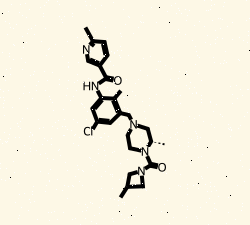 Cc1ccc(C(=O)Nc2cc(Cl)cc(CN3CCN(C(=O)N4CC(C)C4)[C@@H](C)C3)c2C)cn1